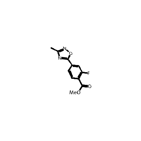 COC(=O)c1ccc(-c2nc(C)no2)cc1F